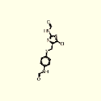 O=CNc1ccc(SCc2nc(NC=O)sc2Cl)cc1